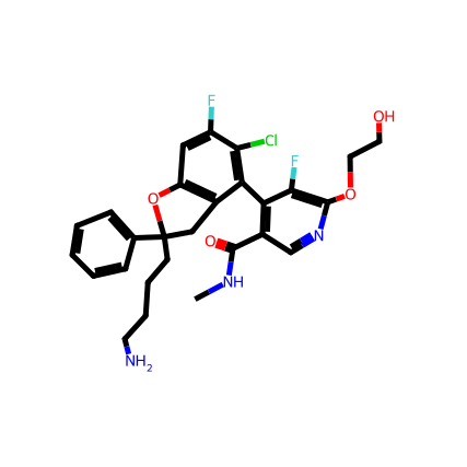 CNC(=O)c1cnc(OCCO)c(F)c1-c1c(Cl)c(F)cc2c1CC(CCCCN)(c1ccccc1)O2